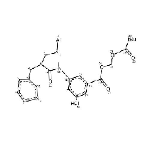 CC(=O)SCC(Cc1cccnc1)C(=O)Nc1cccc(C(=O)OCOC(=O)C(C)(C)C)c1.Cl